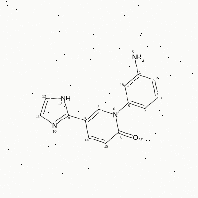 Nc1cccc(-n2cc(-c3ncc[nH]3)ccc2=O)c1